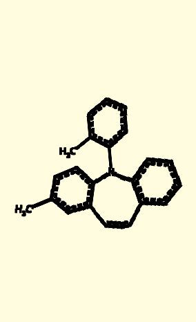 Cc1ccc2c(c1)C=Cc1ccccc1N2c1ccccc1C